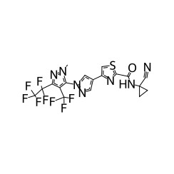 Cn1nc(C(F)(F)C(F)(F)F)c(C(F)(F)F)c1-n1cc(-c2csc(C(=O)NC3(C#N)CC3)n2)cn1